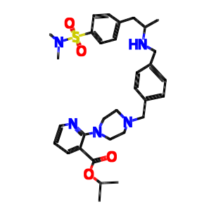 CC(Cc1ccc(S(=O)(=O)N(C)C)cc1)NCc1ccc(CN2CCN(c3ncccc3C(=O)OC(C)C)CC2)cc1